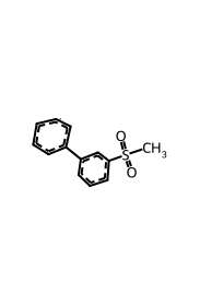 CS(=O)(=O)c1cccc(-c2c[c]ccc2)c1